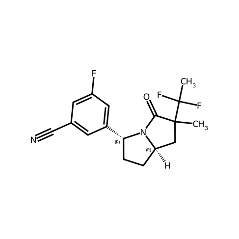 CC(F)(F)C1(C)C[C@H]2CC[C@H](c3cc(F)cc(C#N)c3)N2C1=O